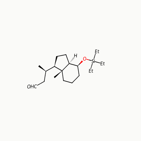 CC[Si](CC)(CC)O[C@H]1CCC[C@]2(C)[C@@H]([C@H](C)CC=O)CC[C@@H]12